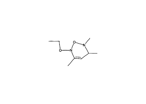 CCON1ON(C)C(C)C=C1C